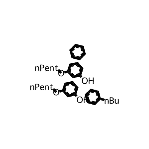 CCCCCOc1cccc(O)c1.CCCCCOc1cccc(O)c1.CCCCc1ccccc1.c1ccccc1